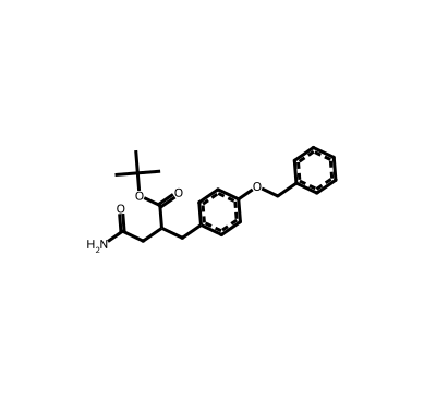 CC(C)(C)OC(=O)C(CC(N)=O)Cc1ccc(OCc2ccccc2)cc1